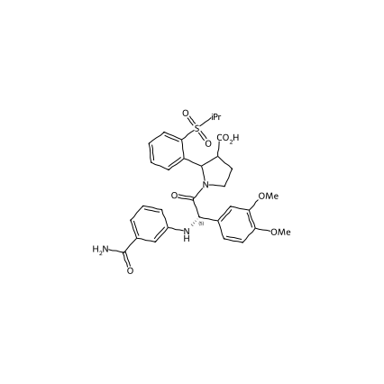 COc1ccc([C@H](Nc2cccc(C(N)=O)c2)C(=O)N2CCC(C(=O)O)C2c2ccccc2S(=O)(=O)C(C)C)cc1OC